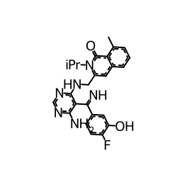 Cc1cccc2cc(CNc3ncnc(N)c3C(=N)c3ccc(F)c(O)c3)n(C(C)C)c(=O)c12